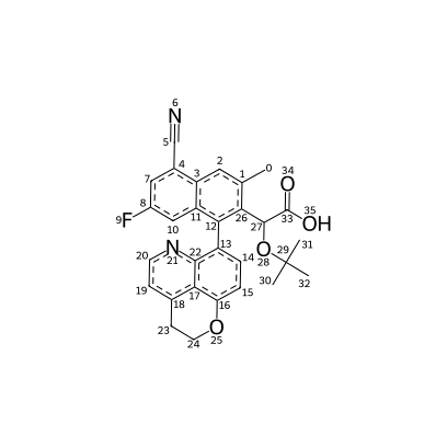 Cc1cc2c(C#N)cc(F)cc2c(-c2ccc3c4c(ccnc24)CCO3)c1C(OC(C)(C)C)C(=O)O